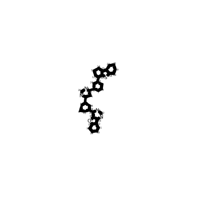 c1cc(-c2cc(-c3cccc(-c4cccc5c4sc4ccccc45)c3)ncn2)cc(-c2ncnc3c2oc2ccccc23)c1